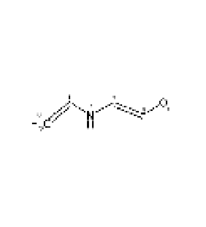 C=CNC=CO